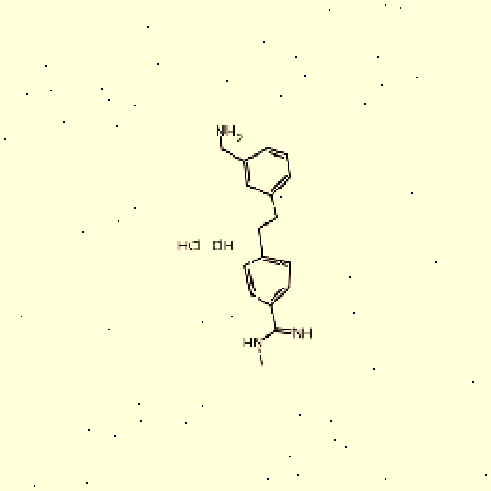 CNC(=N)c1ccc(CCc2cccc(CN)c2)cc1.Cl.Cl